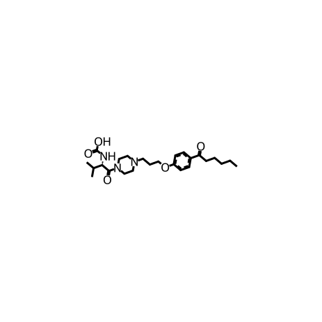 CCCCCC(=O)c1ccc(OCCCN2CCN(C(=O)[C@@H](NC(=O)O)C(C)C)CC2)cc1